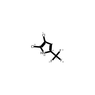 FC(F)(F)c1cc(Cl)c(Cl)[nH]1